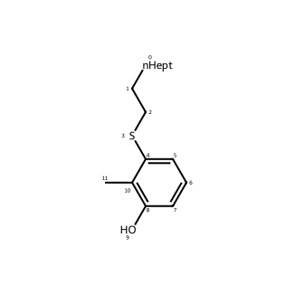 CCCCCCCCCSc1cccc(O)c1C